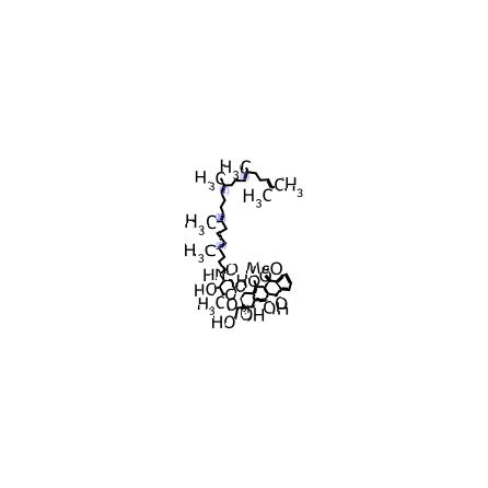 COc1cccc2c1C(=O)c1c(O)c3c(c(O)c1C2=O)C[C@@](O)(C(=O)CO)CC3OC1CC(NC(=O)CC/C(C)=C/CC/C(C)=C/CC/C=C(/C)CC/C=C(\C)CCC=C(C)C)C(O)C(C)O1